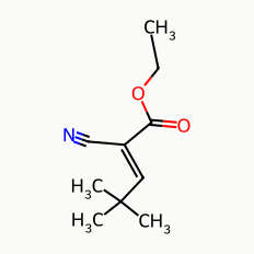 CCOC(=O)C(C#N)=CC(C)(C)C